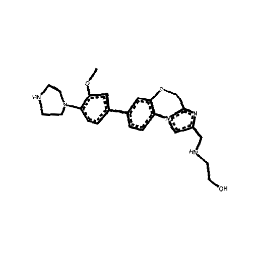 COc1cc(-c2ccc3c(c2)OCc2nc(CNCCO)cn2-3)ccc1N1CCNCC1